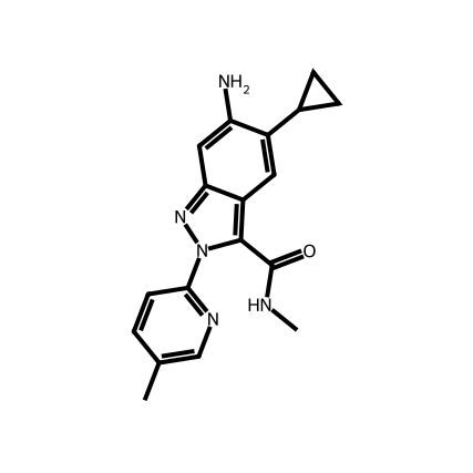 CNC(=O)c1c2cc(C3CC3)c(N)cc2nn1-c1ccc(C)cn1